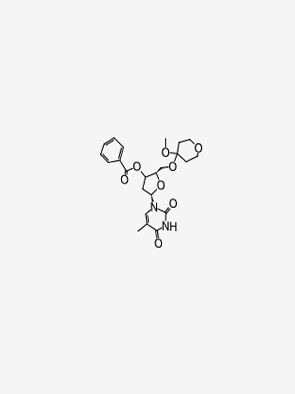 COC1(OC[C@H]2O[C@@H](n3cc(C)c(=O)[nH]c3=O)CC2OC(=O)c2ccccc2)CCOCC1